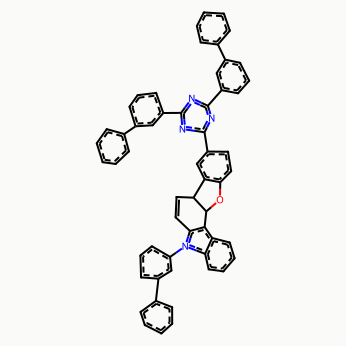 C1=CC2c3cc(-c4nc(-c5cccc(-c6ccccc6)c5)nc(-c5cccc(-c6ccccc6)c5)n4)ccc3OC2c2c1n(-c1cccc(-c3ccccc3)c1)c1ccccc21